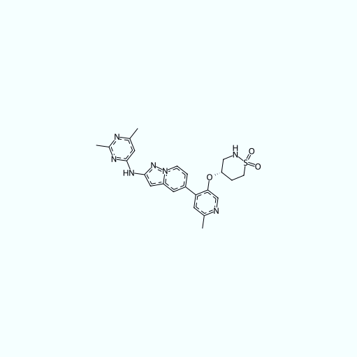 Cc1cc(-c2ccn3nc(Nc4cc(C)nc(C)n4)cc3c2)c(O[C@H]2CCS(=O)(=O)NC2)cn1